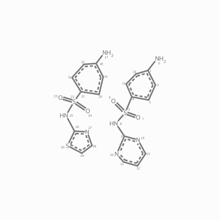 Nc1ccc(S(=O)(=O)Nc2ncccn2)cc1.Nc1ccc(S(=O)(=O)Nc2nccs2)cc1